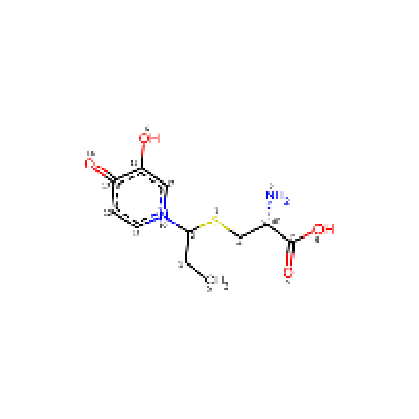 CCC(SC[C@H](N)C(=O)O)n1ccc(=O)c(O)c1